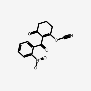 N#COC1=C(C(=O)c2ccccc2[N+](=O)[O-])C(=O)CCC1